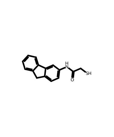 O=C(CS)Nc1ccc2c(c1)-c1ccccc1C2